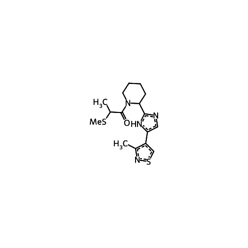 CSC(C)C(=O)N1CCCCC1c1ncc(-c2csnc2C)[nH]1